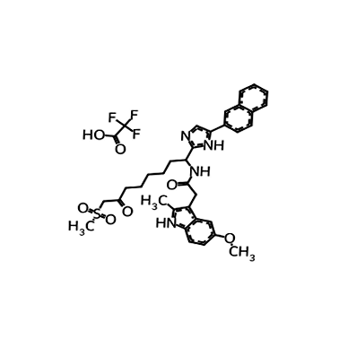 COc1ccc2[nH]c(C)c(CC(=O)NC(CCCCCC(=O)CS(C)(=O)=O)c3ncc(-c4ccc5ccccc5c4)[nH]3)c2c1.O=C(O)C(F)(F)F